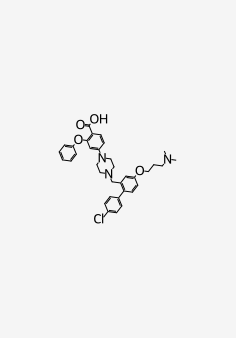 CN(C)CCCOc1ccc(-c2ccc(Cl)cc2)c(CN2CCN(c3ccc(C(=O)O)c(Oc4ccccc4)c3)CC2)c1